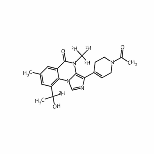 [2H]C(C)(O)c1cc(C)cc2c(=O)n(C([2H])([2H])[2H])c3c(C4=CCN(C(C)=O)CC4)ncn3c12